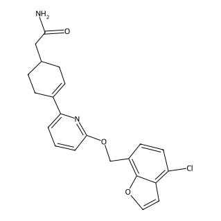 NC(=O)CC1CC=C(c2cccc(OCc3ccc(Cl)c4ccoc34)n2)CC1